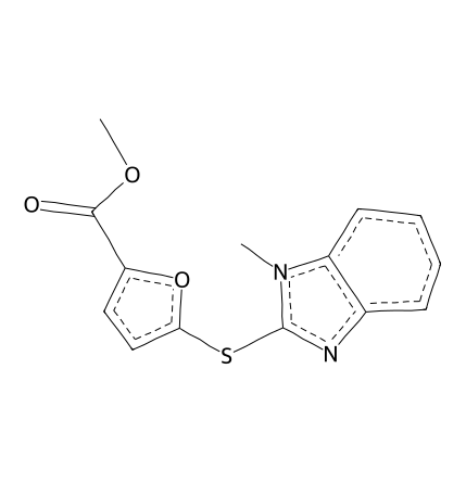 COC(=O)c1ccc(Sc2nc3ccccc3n2C)o1